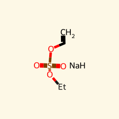 C=COS(=O)(=O)OCC.[NaH]